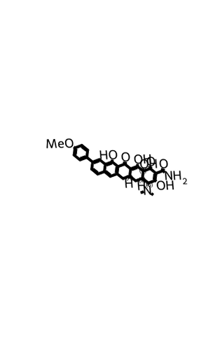 COc1ccc(-c2ccc3cc4c(c(O)c3c2)C(=O)C2=C(O)[C@]3(O)C(=O)C(C(N)=O)=C(O)[C@@H](N(C)C)[C@@H]3C[C@@H]2C4)cc1